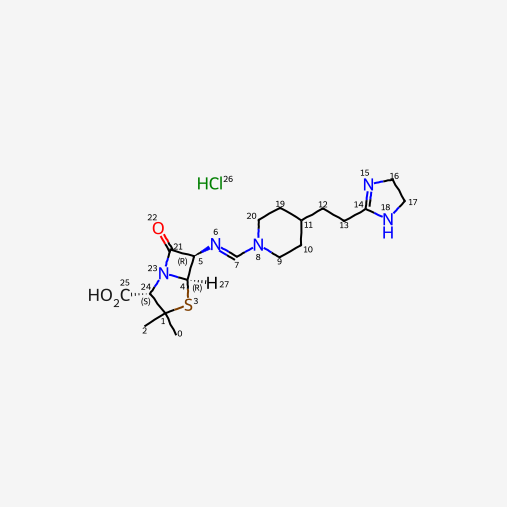 CC1(C)S[C@@H]2[C@H](N=CN3CCC(CCC4=NCCN4)CC3)C(=O)N2[C@H]1C(=O)O.Cl